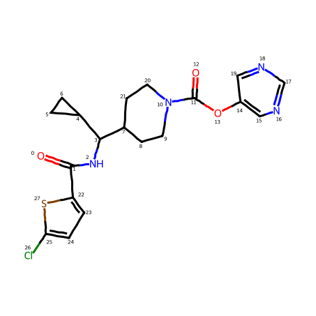 O=C(NC(C1CC1)C1CCN(C(=O)Oc2cncnc2)CC1)c1ccc(Cl)s1